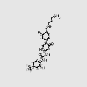 NCCCNCc1ccc(-c2c[nH]c(NC(=O)Nc3ccc(C(F)(F)F)cc3Cl)nc2=O)cc1F